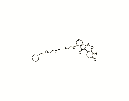 O=C1CCC(N2C(=O)c3cccc(OCCOCCOCCOCCC4CCCCC4)c3C2=O)C(=O)N1